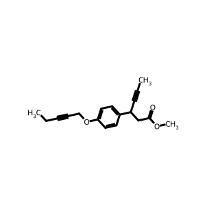 CC#CC(CC(=O)OC)c1ccc(OCC#CCC)cc1